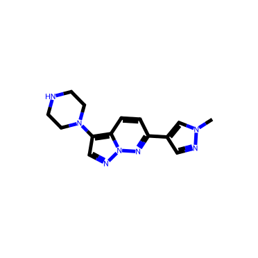 Cn1cc(-c2ccc3c(N4CCNCC4)cnn3n2)cn1